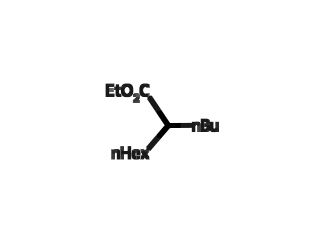 CCCCCCC(CCCC)C(=O)OCC